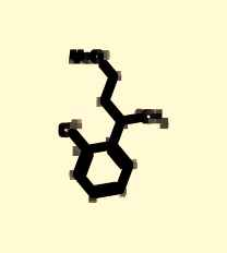 COCCC(C)c1ccccc1Cl